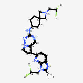 Cc1nc2ccc(-c3ccn4nc(NC5CCC6(CC5)CN(CC(F)F)C6)ncc34)nc2n1CC(F)F